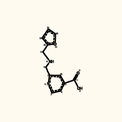 O=C(O)c1ccnc(CNCc2ccco2)c1